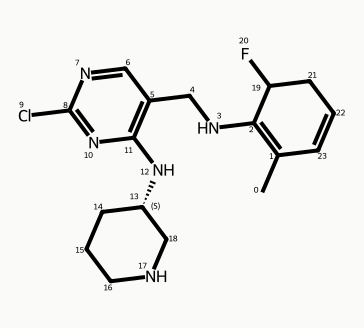 CC1=C(NCc2cnc(Cl)nc2N[C@H]2CCCNC2)C(F)CC=C1